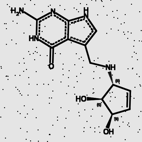 Nc1nc2[nH]cc(CN[C@@H]3C=C[C@@H](O)[C@H]3O)c2c(=O)[nH]1